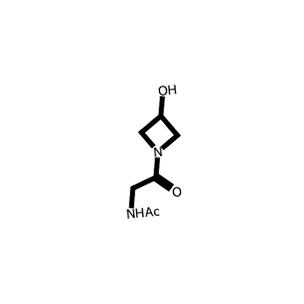 CC(=O)NCC(=O)N1CC(O)C1